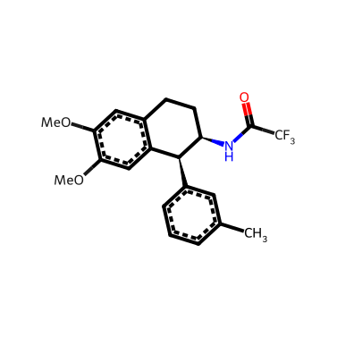 COc1cc2c(cc1OC)[C@H](c1cccc(C)c1)[C@H](NC(=O)C(F)(F)F)CC2